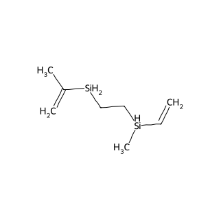 C=C[SiH](C)CC[SiH2]C(=C)C